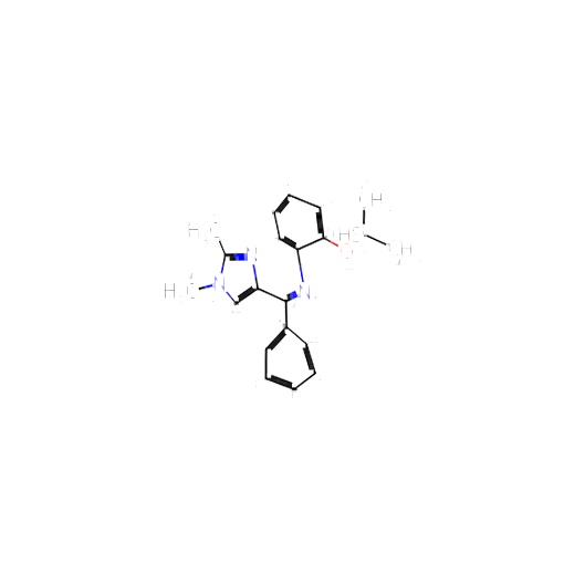 Cc1nc(C(=Nc2ccccc2O[SiH](C)C)c2ccccc2)cn1C